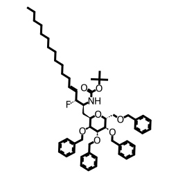 CCCCCCCCCCCCC=C[C@@H](F)[C@H](C[C@H]1O[C@H](COCc2ccccc2)[C@H](OCc2ccccc2)[C@H](OCc2ccccc2)[C@H]1OCc1ccccc1)NC(=O)OC(C)(C)C